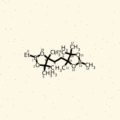 CCB1OC(C)(C)C(C)(CCC2(C)OB(C)OC2(C)C)O1